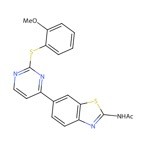 COc1ccccc1Sc1nccc(-c2ccc3nc(NC(C)=O)sc3c2)n1